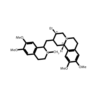 CC[C@H]1CN2CCc3cc(OC)c(OC)cc3[C@@H]2CC1CC1c2cc(OC)c(OC)cc2CCN1C